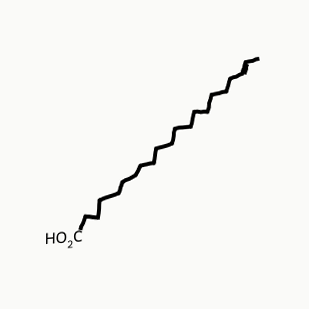 CC=CCCCCCCCCCCCCCCCCCC(=O)O